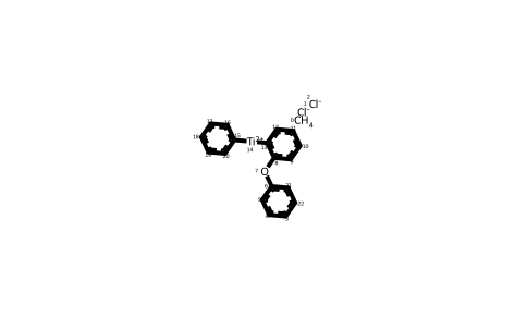 C.[Cl-].[Cl-].c1ccc(Oc2cccc[c]2[Ti+2][c]2ccccc2)cc1